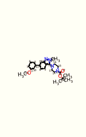 COc1cccc(-c2ccc3c(N4CCN(C(=O)OC(C)(C)C)CC4)n(C)nc3c2)c1